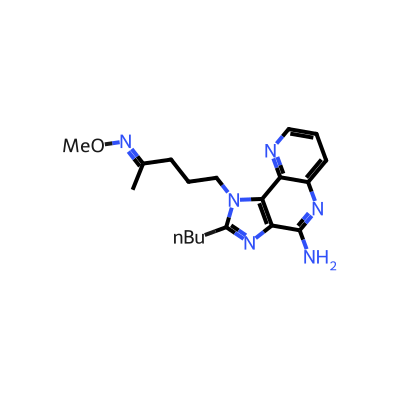 CCCCc1nc2c(N)nc3cccnc3c2n1CCC/C(C)=N/OC